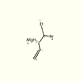 C=CCC(Br)CC.[MgH2]